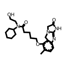 Cc1ccc2c(c1OCCCCC(=O)N(CCO)C1CCCCC1)CN1CC(=O)NC1=N2